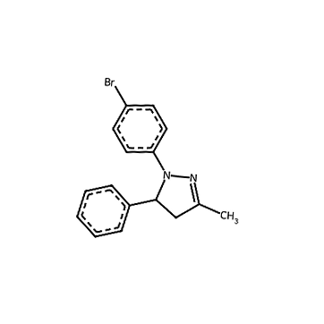 CC1=NN(c2ccc(Br)cc2)C(c2ccccc2)C1